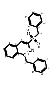 N#C/C(=C\c1ccccc1OCc1ccccc1)S(=O)(=O)Cc1ccccc1